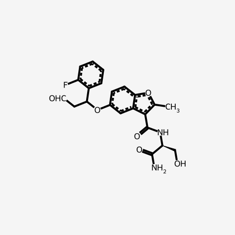 Cc1oc2ccc(OC(CC=O)c3ccccc3F)cc2c1C(=O)N[C@@H](CO)C(N)=O